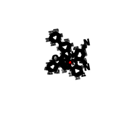 N#Cc1cc(C#N)c(-n2c3ccccc3c3ccccc32)c(-n2c3ccc(-c4ccccc4)cc3c3c4oc5ccccc5c4ccc32)c1